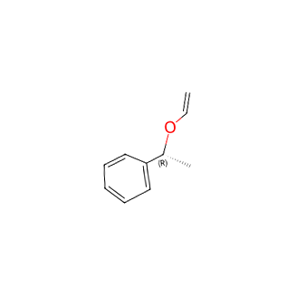 C=CO[C@H](C)c1ccccc1